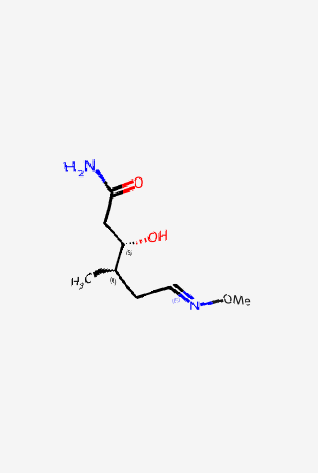 CO/N=C/C[C@@H](C)[C@@H](O)CC(N)=O